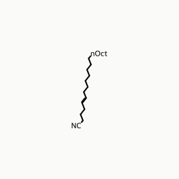 CCCCCCCCCCCCCCC/C=C/CCCC#N